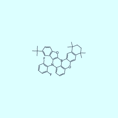 CC(C)(C)c1ccc2oc3c(c2c1)N(c1c(F)cccc1F)c1cccc2c1B3c1cc3c(cc1O2)C(C)(C)CCC3(C)C